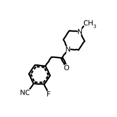 CN1CCN(C(=O)Cc2ccc(C#N)c(F)c2)CC1